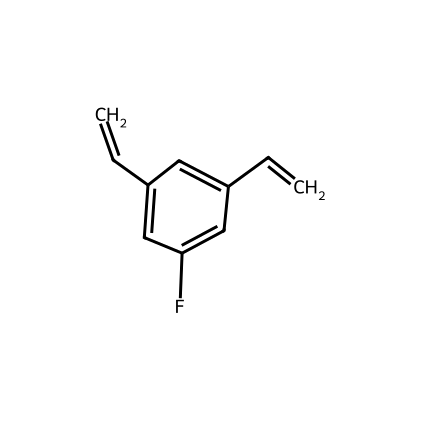 C=Cc1cc(F)cc(C=C)c1